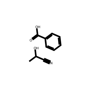 CC(O)C#N.O=C(O)c1ccccc1